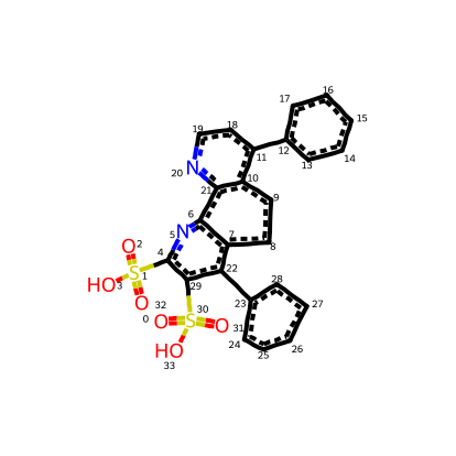 O=S(=O)(O)c1nc2c(ccc3c(-c4ccccc4)ccnc32)c(-c2ccccc2)c1S(=O)(=O)O